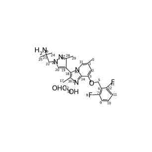 Cc1cc(OCc2c(F)cccc2F)c2nc(C)c(-c3cn(CC(C)(C)N)nc3C)n2c1.O=CO